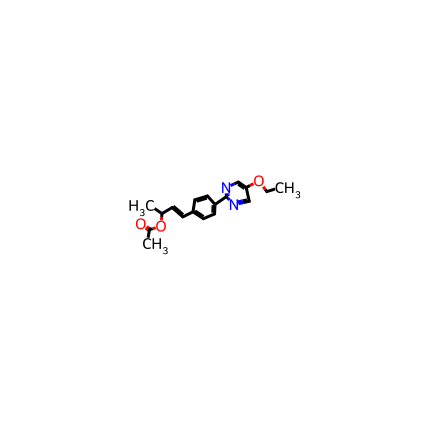 CCOc1cnc(-c2ccc(C=CC(C)OC(C)=O)cc2)nc1